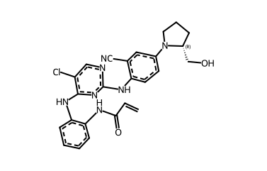 C=CC(=O)Nc1ccccc1Nc1nc(Nc2ccc(N3CCC[C@@H]3CO)cc2C#N)ncc1Cl